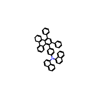 C1=Cc2c(c3ccccc3c3c(-c4ccc(N(c5cccc6ccccc56)c5cccc6ccccc56)cc4)c(-c4ccccc4)cc(-c4ccccc4)c23)CC1